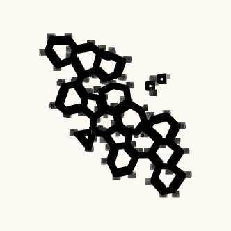 C1=C(C2CCCCC2)[CH]([Ti+2]2([CH]3C(C4CCCCC4)=Cc4c(-c5c6ccccc6cc6ccccc56)cccc43)[CH2][CH2]2)c2cccc(-c3c4ccccc4cc4ccccc34)c21.[Cl-].[Cl-]